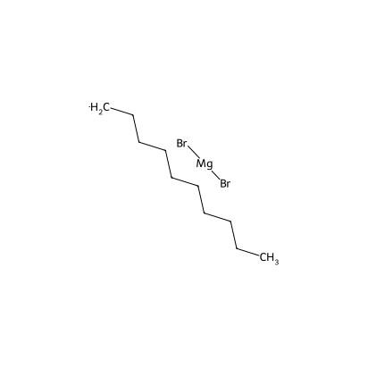 [Br][Mg][Br].[CH2]CCCCCCCCC